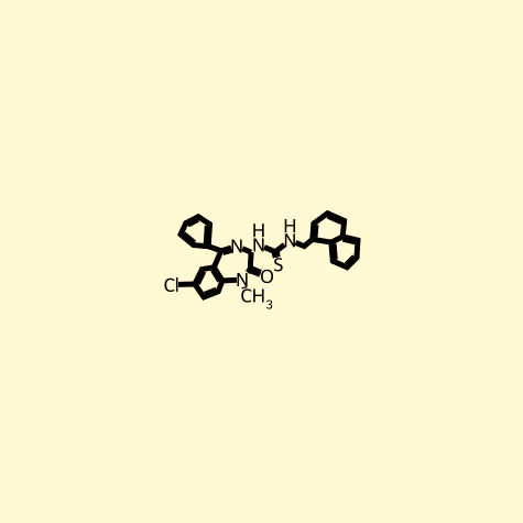 CN1C(=O)C(NC(=S)NCc2cccc3ccccc23)N=C(c2ccccc2)c2cc(Cl)ccc21